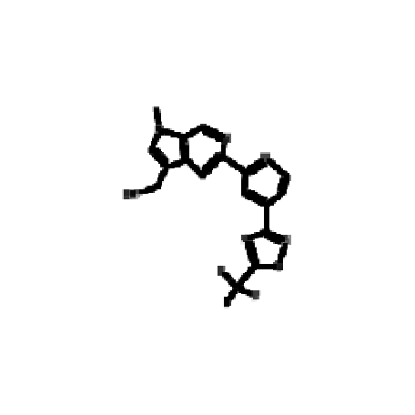 Cn1cc(CO)c2cc(-c3cc(-c4noc(C(F)(F)F)n4)ccn3)ncc21